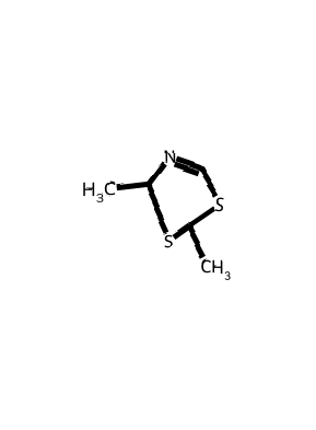 CC1N=CSC(C)S1